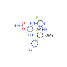 CCN1CCN(c2cc(OC)c(Nc3ncc(F)c(Nc4cc(OC(N)=O)ccc4OC)n3)cc2N)CC1